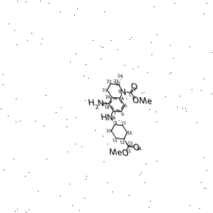 COC(=O)N1c2ccc(N[C@H]3CC[C@H](C(=O)OC)CC3)c(N)c2CC[C@@H]1C